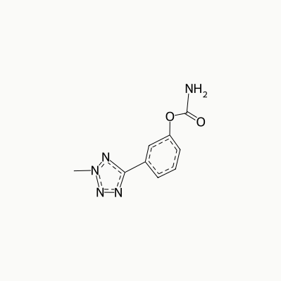 Cn1nnc(-c2cccc(OC(N)=O)c2)n1